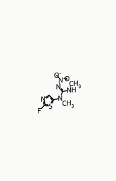 CNC(=N[N+](=O)[O-])N(C)c1cnc(F)s1